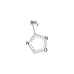 Bc1ncon1